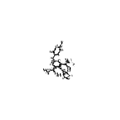 CNC(=O)c1nc(Cc2ccc(C)cc2)cc(C(N)=O)c1C1[C@H]2COC[C@@H]12